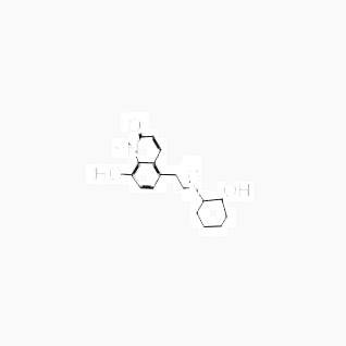 O=c1ccc2c(CCNC3CCCCC3O)ccc(O)c2[nH]1